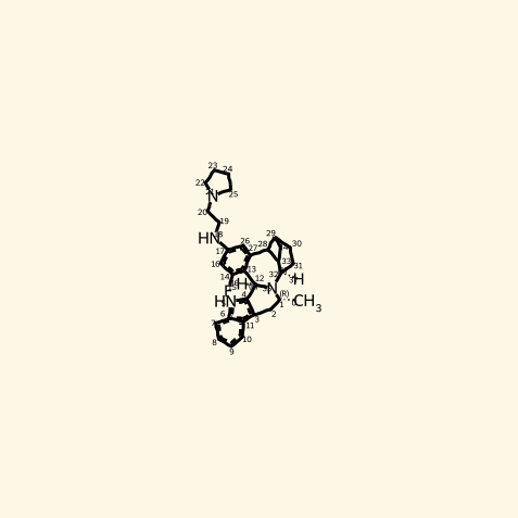 C[C@@H]1Cc2c([nH]c3ccccc23)[C@H]2c3c(F)cc(NCCN4CCCC4)cc3C3C4CC[C@H](C3C4)N21